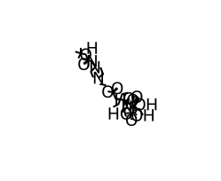 CCN(C(=O)C(CC)(CC)CC(=O)OCCN1CCN(NC(=O)OC(C)(C)C)CC1)C(CC)(P(=O)(O)O)P(=O)(O)O